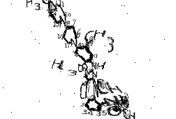 COc1cc(N2CCC(N3CCN(C)CC3)CC2)c(C)cc1Nc1ncc(Cl)c(N(C)c2ccccc2NS(C)(=O)=O)n1